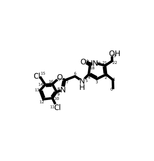 CCc1cc(NCc2nc3c(Cl)ccc(Cl)c3o2)c(=O)[nH]c1CO